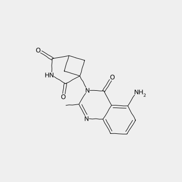 Cc1nc2cccc(N)c2c(=O)n1C12CC(C1)C(=O)NC2=O